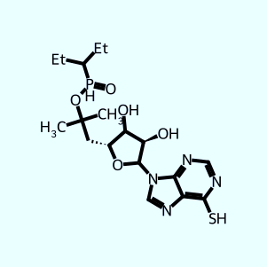 CCC(CC)[PH](=O)OC(C)(C)C[C@H]1OC(n2cnc3c(S)ncnc32)[C@H](O)C1O